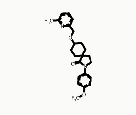 Cc1cccc(COC2CCC3(CC2)CCN(c2ccc(OC(F)(F)F)cc2)C3=O)n1